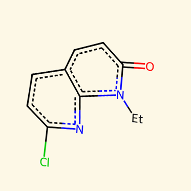 CCn1c(=O)ccc2ccc(Cl)nc21